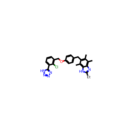 CCc1nc2c(C)c(C)c(Cc3ccc(OCc4cccc(-c5nnn[nH]5)c4Cl)cc3)c(C)c2[nH]1